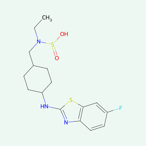 CCN(CC1CCC(Nc2nc3ccc(F)cc3s2)CC1)S(=O)O